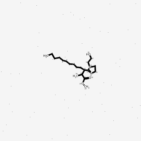 CCCCCCCCCCC(C1=NCCN1CCO)C(C)C(=O)OC